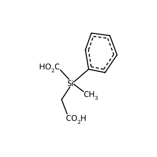 C[Si](CC(=O)O)(C(=O)O)c1ccccc1